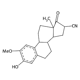 COc1cc2c(cc1O)CCC1C2CCC2(C)C(=O)C(C#N)CC12